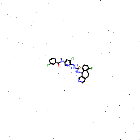 CN(C(=O)c1cccc(F)c1)c1cnc(NNC(=S)NC2c3cnccc3CCc3c(F)cccc32)c(Cl)c1